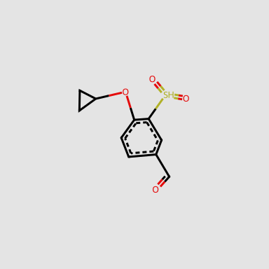 O=Cc1ccc(OC2CC2)c([SH](=O)=O)c1